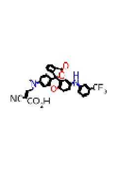 CN(C/C=C(/C#N)C(=O)O)c1ccc2c(c1)Oc1ccc(Nc3cccc(C(F)(F)F)c3)cc1C21OC(=O)c2ccccc21